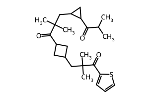 CC(C)C(=O)C1CC1CC(C)(C)C(=O)C1CC(CC(C)(C)C(=O)c2cccs2)C1